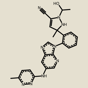 Cc1ccc(Nc2cnc3c(c2)ncn3-c2ccccc2C2(C)C=C(C#N)N(C(C)O)N2)nn1